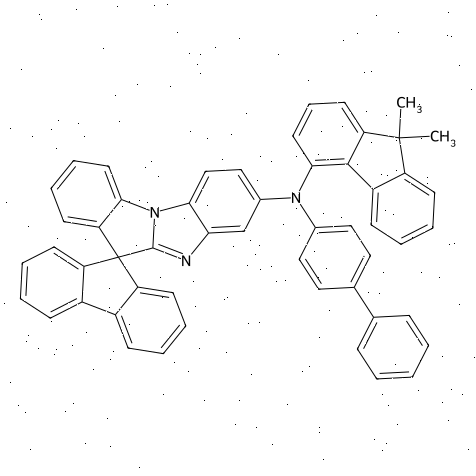 CC1(C)c2ccccc2-c2c(N(c3ccc(-c4ccccc4)cc3)c3ccc4c(c3)nc3n4-c4ccccc4C34c3ccccc3-c3ccccc34)cccc21